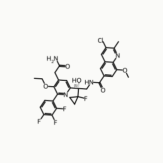 CCOc1c(CC(N)=O)cc([C@@](O)(CNC(=O)c2cc(OC)c3nc(C)c(Cl)cc3c2)C2(F)CC2)nc1-c1ccc(F)c(F)c1F